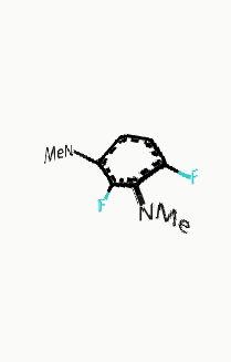 CNc1ccc(F)c(NC)c1F